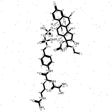 CCC(=O)O[C@]1(C(=O)SCF)[C@H](O)C[C@H]2[C@@H]3C[C@H](F)C4=CC(=O)C=C[C@]4(C)[C@@]3(F)[C@@H](OP(=O)(O)OP(=O)(O)OCc3ccc(NC(=O)[C@H](CCCNC(N)=O)NC(=O)[C@@H](N)C(C)C)cc3)C[C@@]21C